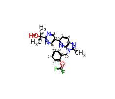 Cc1nc2ccc(-c3cnc(C(C)(C)O)nc3)nc2n1Cc1ccccc1OC(F)F